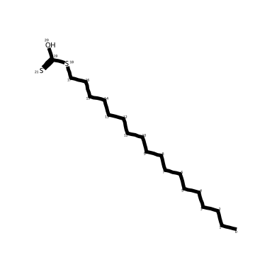 CCCCCCCCCCCCCCCCCCSC(O)=S